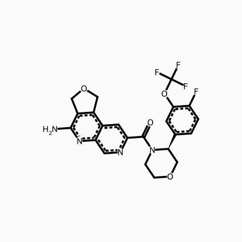 Nc1nc2cnc(C(=O)N3CCOC[C@@H]3c3ccc(F)c(OC(F)(F)F)c3)cc2c2c1COC2